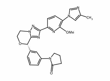 COc1nc(-c2nc3n(n2)CCO[C@H]3c2cccc(N3CCCC3=O)c2)ccc1-n1cnc(C)c1